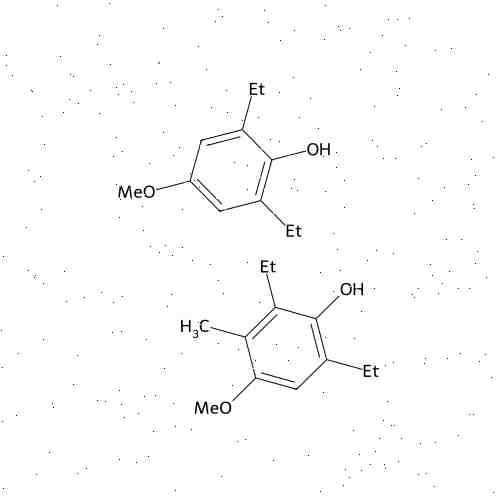 CCc1cc(OC)c(C)c(CC)c1O.CCc1cc(OC)cc(CC)c1O